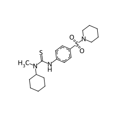 CN(C(=S)Nc1ccc(S(=O)(=O)N2CCCCC2)cc1)C1CCCCC1